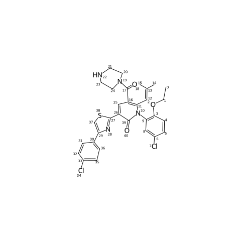 CCOc1ccc(Cl)cc1-n1c(C=C(C)C)c(C(=O)N2CCNCC2)cc(-c2nc(-c3ccc(Cl)cc3)cs2)c1=O